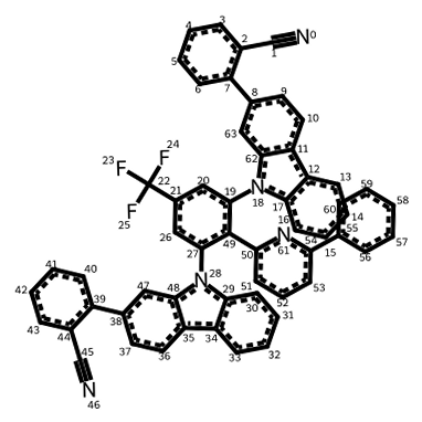 N#Cc1ccccc1-c1ccc2c3ccccc3n(-c3cc(C(F)(F)F)cc(-n4c5ccccc5c5ccc(-c6ccccc6C#N)cc54)c3-c3cccc(-c4ccccc4)n3)c2c1